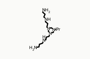 CC(C)N1CN(CCCNCCCN)CN(CCCNCCCN)C1